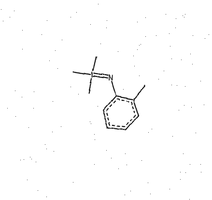 Cc1ccccc1N=I(C)(C)C